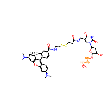 CN(C)c1ccc2c(-c3ccc(C(=O)NCCSSCCC(=O)NCc4cn(C5CC(O)C(OPPPO)O5)c(=O)[nH]c4=O)cc3C(=O)O)c3ccc(=[N+](C)C)cc-3oc2c1